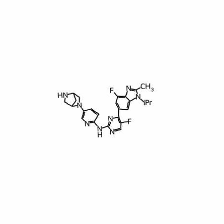 Cc1nc2c(F)cc(-c3nc(Nc4ccc(N5CC6CC5CN6)cn4)ncc3F)cc2n1C(C)C